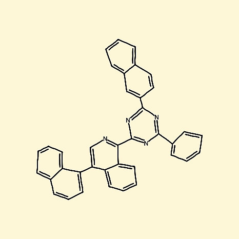 c1ccc(-c2nc(-c3ccc4ccccc4c3)nc(-c3ncc(-c4cccc5ccccc45)c4ccccc34)n2)cc1